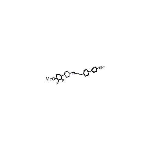 CCCc1ccc(-c2ccc(CC/C=C/C3CC=C(c4ccc(OC)c(F)c4F)CC3)cc2)cc1